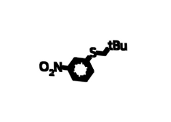 CC(C)(C)CSc1cccc([N+](=O)[O-])c1